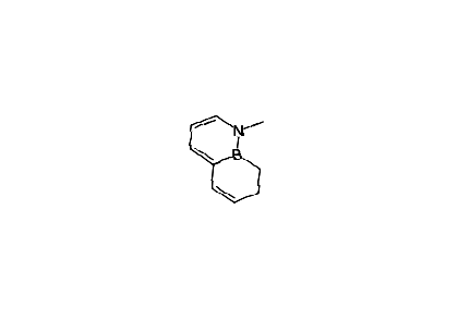 CN1C=CC=C2C=CCCB21